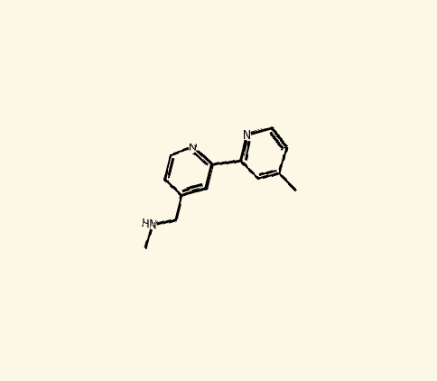 CNCc1ccnc(-c2cc(C)ccn2)c1